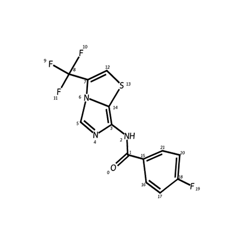 O=C(Nc1ncn2c(C(F)(F)F)csc12)c1ccc(F)cc1